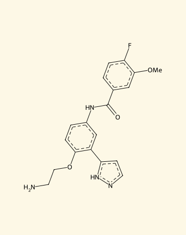 COc1cc(C(=O)Nc2ccc(OCCN)c(-c3ccn[nH]3)c2)ccc1F